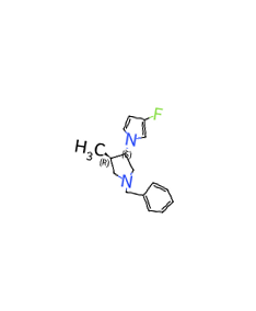 C[C@@H]1CN(Cc2ccccc2)C[C@H]1n1ccc(F)c1